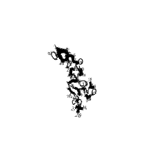 COc1ccc2cc(C(=O)N3CCN(C(=O)CN4C[C@@H](C)N(C(=O)OC(C)(C)C)C[C@@H]4CN4CCOCC4C)CC3)n(C)c2c1